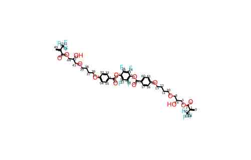 C=C(C(=O)OCC(O)COCCCCOc1ccc(C(=O)Oc2c(F)c(F)c(OC(=O)c3ccc(OCCCCOCC(O)COC(=O)C(=C)C(F)(F)F)cc3)c(F)c2F)cc1)C(F)(F)F